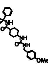 COc1ccc(CNC(=O)NC2CCC(C(=O)NC3(c4ccccc4)CC3)CC2)cc1